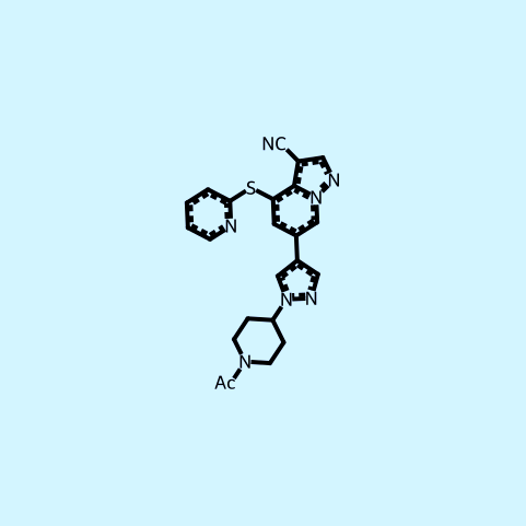 CC(=O)N1CCC(n2cc(-c3cc(Sc4ccccn4)c4c(C#N)cnn4c3)cn2)CC1